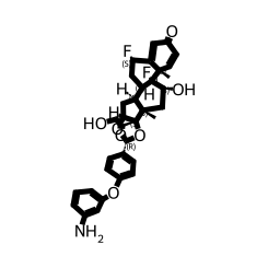 C[C@]12C=CC(=O)C=C1[C@@H](F)C[C@H]1[C@@H]3C[C@H]4O[C@@H](c5ccc(Oc6cccc(N)c6)cc5)O[C@@]4(C(=O)CO)[C@@]3(C)C[C@H](O)[C@@]12F